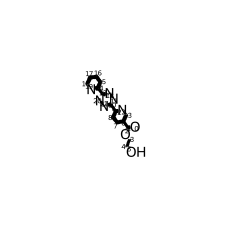 O=C(OCCO)c1ccc(-c2nnc(-c3ccccn3)nn2)nc1